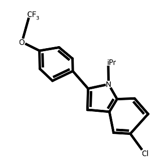 CC(C)n1c(-c2ccc(OC(F)(F)F)cc2)cc2cc(Cl)ccc21